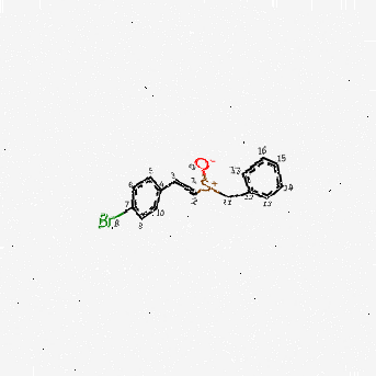 [O-][S+](C=Cc1ccc(Br)cc1)Cc1ccccc1